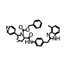 Cc1cccc2[nH]c(Cc3ccc(NC(=O)C4CSC(c5ccncc5)N4C(=O)OCc4ccccc4)cc3)nc12